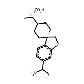 C[C@H](C(=O)O)[C@H]1CC[C@]2(CC1)COc1cc(C(N)F)ccc12